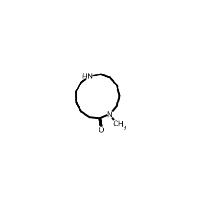 CN1CCCCCNCCCCCC1=O